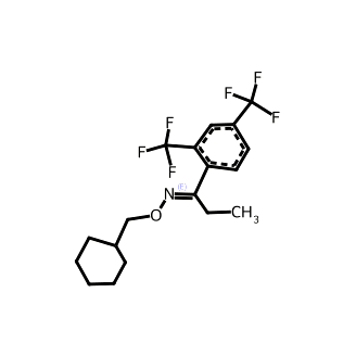 CC/C(=N\OCC1CCCCC1)c1ccc(C(F)(F)F)cc1C(F)(F)F